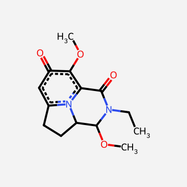 CCN1C(=O)c2c(OC)c(=O)cc3n2C(CC3)C1OC